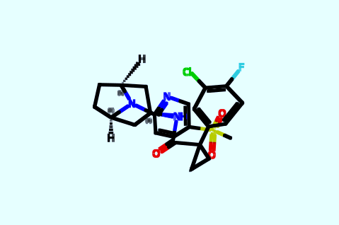 CS(=O)(=O)c1ccc(N2[C@@H]3CC[C@H]2C[C@@H](NC(=O)C2(c4ccc(F)c(Cl)c4)CC2)C3)nc1